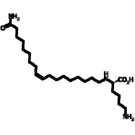 NCCCC[C@H](NCCCCCCCC/C=C\CCCCCCCC(N)=O)C(=O)O